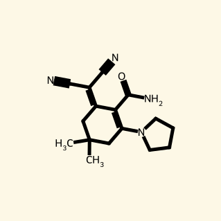 CC1(C)CC(=C(C#N)C#N)C(C(N)=O)=C(N2CCCC2)C1